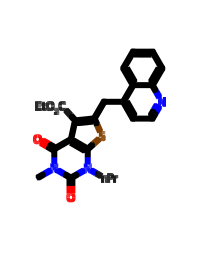 CCCn1c(=O)n(C)c(=O)c2c(C(=O)OCC)c(Cc3ccnc4ccccc34)sc21